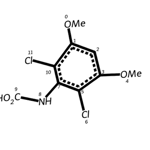 COc1cc(OC)c(Cl)c(NC(=O)O)c1Cl